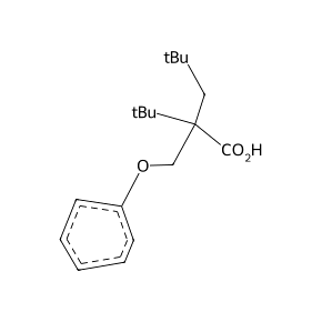 CC(C)(C)CC(COc1ccccc1)(C(=O)O)C(C)(C)C